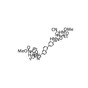 [C-]#[N+]C1C[C@@H](c2ncc(-c3ccc(-c4ccc5cc(-c6cnc([C@@H]7CC8(CC8)CN7C(=O)[C@@H](NC(=O)OC)C(C)C)[nH]6)ccc5c4)cc3)[nH]2)N(C(=O)[C@H](CC)NC(=O)OC)C1